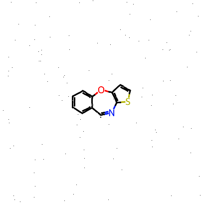 [C]1=Nc2sccc2Oc2ccccc21